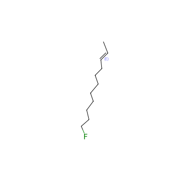 C/C=C/CCCCCCCCF